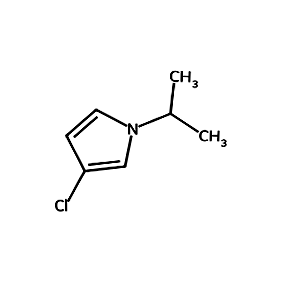 CC(C)n1ccc(Cl)c1